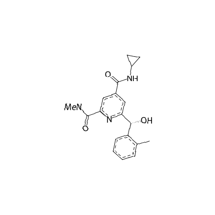 CNC(=O)c1cc(C(=O)NC2CC2)cc([C@H](O)c2ccccc2C)n1